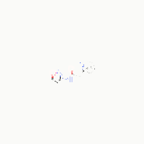 O=C(CC1CC2CC[N+]1CC2)Nc1ccon1